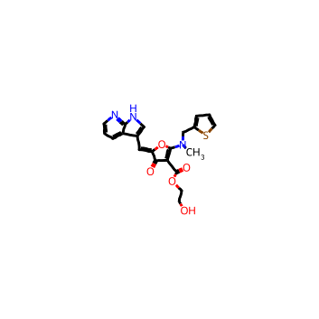 CN(Cc1cccs1)C1=C(C(=O)OCCO)C(=O)C(=Cc2c[nH]c3ncccc23)O1